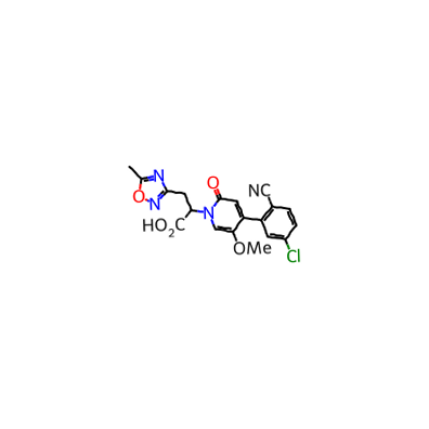 COc1cn(C(Cc2noc(C)n2)C(=O)O)c(=O)cc1-c1cc(Cl)ccc1C#N